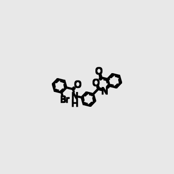 O=C(Nc1cccc(-c2nc3ccccc3c(=O)o2)c1)c1ccccc1Br